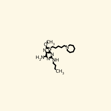 CCCCNc1nc(N)c2nc(OC)n(CCCCCN3CCCCCC3)c2n1